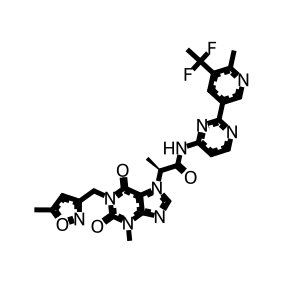 Cc1cc(Cn2c(=O)c3c(ncn3[C@@H](C)C(=O)Nc3ccnc(-c4cnc(C)c(C(C)(F)F)c4)n3)n(C)c2=O)no1